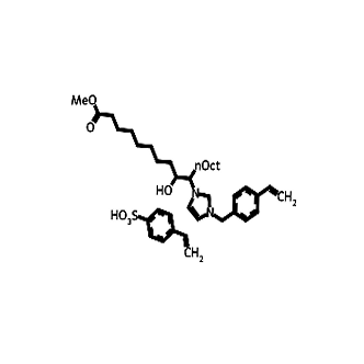 C=Cc1ccc(CN2C=CN(C(CCCCCCCC)C(O)CCCCCCCC(=O)OC)C2)cc1.C=Cc1ccc(S(=O)(=O)O)cc1